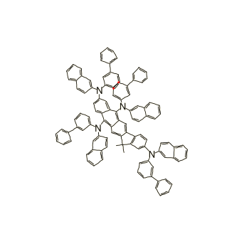 CC1(C)c2cc(N(c3cccc(-c4ccccc4)c3)c3ccc4ccccc4c3)ccc2-c2cc3c(N(c4cccc(-c5ccccc5)c4)c4ccc5ccccc5c4)c4cc(N(c5cccc(-c6ccccc6)c5)c5ccc6ccccc6c5)ccc4c(N(c4cccc(-c5ccccc5)c4)c4ccc5ccccc5c4)c3cc21